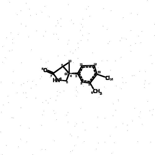 Cc1cc([C@@]23CNC(=O)C2C3)ccc1Cl